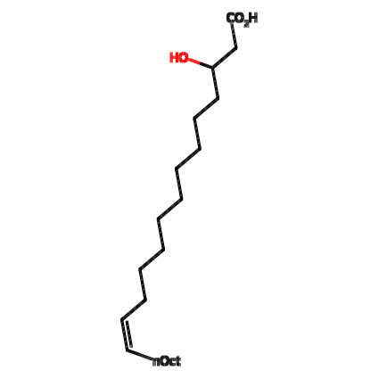 CCCCCCCC/C=C\CCCCCCCCCC(O)CC(=O)O